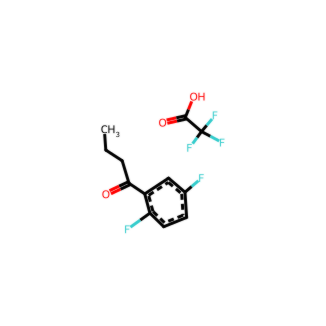 CCCC(=O)c1cc(F)ccc1F.O=C(O)C(F)(F)F